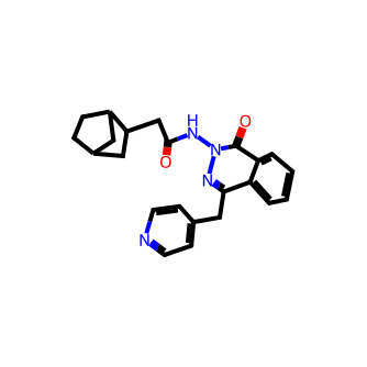 O=C(CC1CC2CCC1C2)Nn1nc(Cc2ccncc2)c2ccccc2c1=O